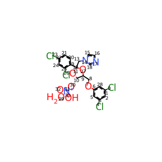 Clc1cc(Cl)cc(OCC2COC(Cn3ccnc3)(c3ccc(Cl)cc3Cl)O2)c1.O.O=[N+]([O-])O